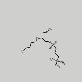 CCCCCO[C@H](COO)COP(=O)([O-])OCC[N+](C)(C)C